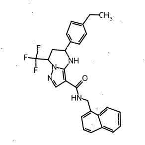 CCc1ccc(C2CC(C(F)(F)F)n3ncc(C(=O)NCc4cccc5ccccc45)c3N2)cc1